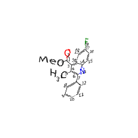 COC(=O)c1c(C)c(-c2ccccc2)nc2ccc(F)cc12